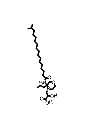 CCCC1(NC(=O)CCCCCCCCCCCCCCC(C)C)COCCN1CC(O)C(=O)O